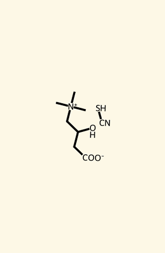 C[N+](C)(C)CC(O)CC(=O)[O-].N#CS